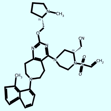 C=CS(=O)(=O)N1CCN(c2nc(OC[C@@H]3CCCN3C)nc3c2CCN(c2cccc4cccc(C)c24)CC3)C[C@@H]1CC#N